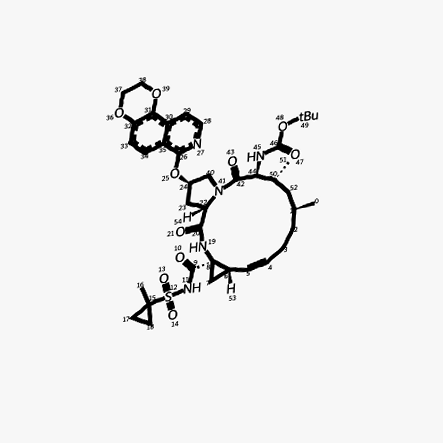 C[C@H]1CC/C=C\[C@@H]2C[C@@]2(C(=O)NS(=O)(=O)C2(C)CC2)NC(=O)[C@@H]2C[C@@H](Oc3nccc4c5c(ccc34)OCCO5)CN2C(=O)[C@@H](NC(=O)OC(C)(C)C)[C@H](C)C1